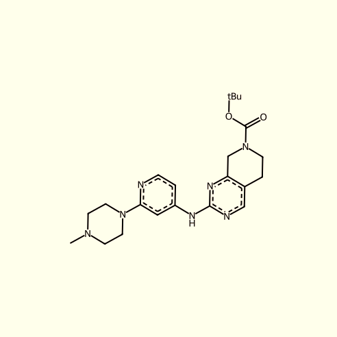 CN1CCN(c2cc(Nc3ncc4c(n3)CN(C(=O)OC(C)(C)C)CC4)ccn2)CC1